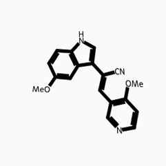 COc1ccc2[nH]cc(C(C#N)=Cc3cnccc3OC)c2c1